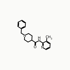 Cc1cccnc1NC(=O)C1CCN(Cc2ccccc2)CC1